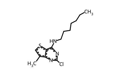 CCCCCCCNc1nc(Cl)nc2c(C)csc12